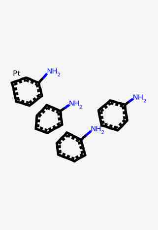 Nc1ccccc1.Nc1ccccc1.Nc1ccccc1.Nc1ccccc1.[Pt]